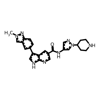 Cn1cc2cc(-c3c[nH]c4ncc(C(=O)Nc5cnn(C6CCNCC6)c5)cc34)ccc2n1